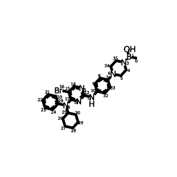 CB(O)N1CCN(c2ccc(Nc3ncc(Br)c(N(c4ccccc4)C4CCCCC4)n3)cc2)CC1